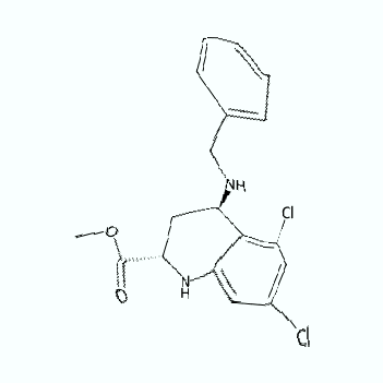 COC(=O)[C@@H]1C[C@@H](NCc2ccccc2)c2c(Cl)cc(Cl)cc2N1